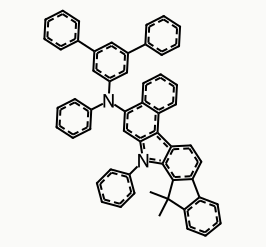 CC1(C)c2ccccc2-c2ccc3c4c5ccccc5c(N(c5ccccc5)c5cc(-c6ccccc6)cc(-c6ccccc6)c5)cc4n(-c4ccccc4)c3c21